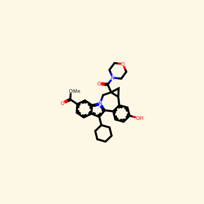 COC(=O)c1ccc2c(C3CCCCC3)c3n(c2c1)CC1(C(=O)N2CCOCC2)CC1c1cc(O)ccc1-3